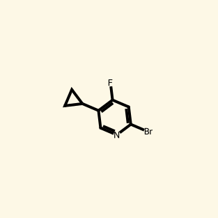 Fc1cc(Br)ncc1C1CC1